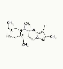 CC[C@H]1CN(C(C)c2ccn3nc(C)c(F)c3n2)[C@H](CC)CN1